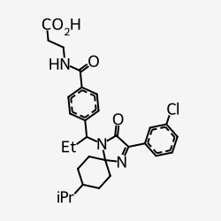 CCC(c1ccc(C(=O)NCCC(=O)O)cc1)N1C(=O)C(c2cccc(Cl)c2)=NC12CCC(C(C)C)CC2